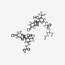 CCCCC(CC)COC(=O)CCc1cc(-n2nc3ccc(Cl)cc3n2)c(O)c(C(C)(C)C)c1.COC(=O)CCc1cc(-n2nc3ccc(Cl)cc3n2)c(O)c(C(C)(C)C)c1